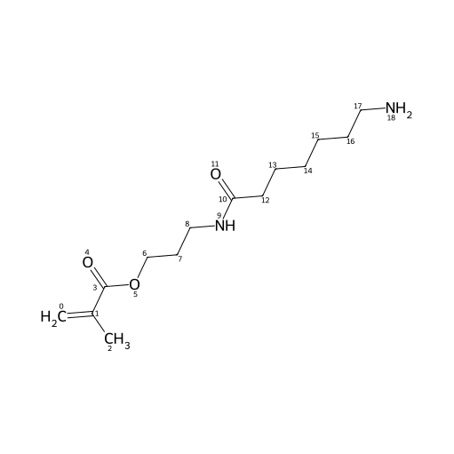 C=C(C)C(=O)OCCCNC(=O)CCCCCCN